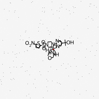 CC(C)(O)c1cnc(N2CCN(S(=O)(=O)c3ccc([N+](=O)[O-])s3)C[C@@H]2CN2[C@@H]3COC[C@H]2CC(=O)C3)nc1